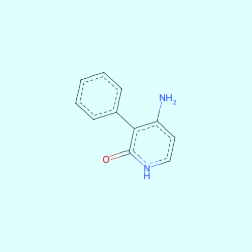 Nc1cc[nH]c(=O)c1-c1ccccc1